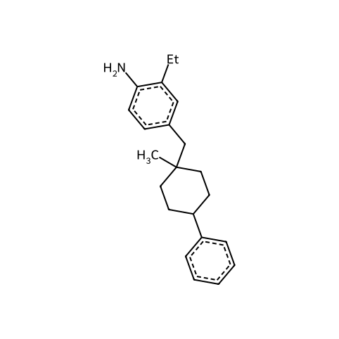 CCc1cc(CC2(C)CCC(c3ccccc3)CC2)ccc1N